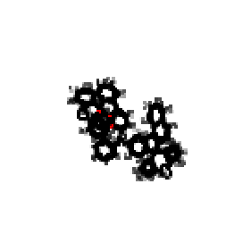 c1ccc(-c2ccccc2N(c2ccc3c(c2)-c2c(ccc4ccccc24)C32c3ccccc3Oc3ccccc32)c2ccc3c(c2)C2(c4ccccc4Oc4ccccc42)c2ccccc2-3)cc1